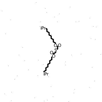 CC(C)CCCCCCCCCOC(=O)CSCC(=O)OCCCCCCCCCC(C)C